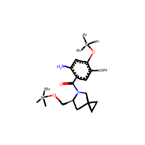 COc1cc(C(=O)N2CC3(CC3)C[C@H]2CO[Si](C)(C)C(C)(C)C)c(N)cc1O[Si](C(C)C)(C(C)C)C(C)C